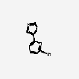 CC(C)c1cccc(-c2cnco2)n1